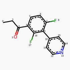 CCC(=O)c1ccc(F)c(-c2ccncc2)c1F